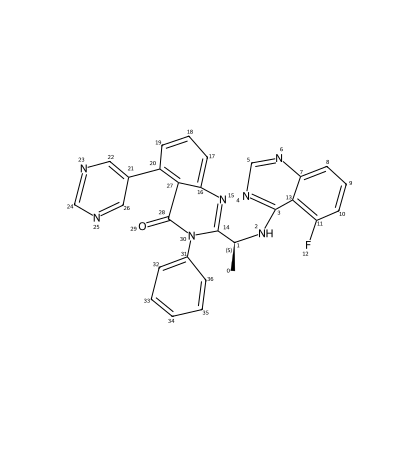 C[C@H](Nc1ncnc2cccc(F)c12)c1nc2cccc(-c3cncnc3)c2c(=O)n1-c1ccccc1